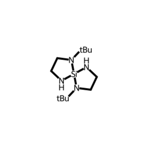 CC(C)(C)N1CCN[Si]12NCCN2C(C)(C)C